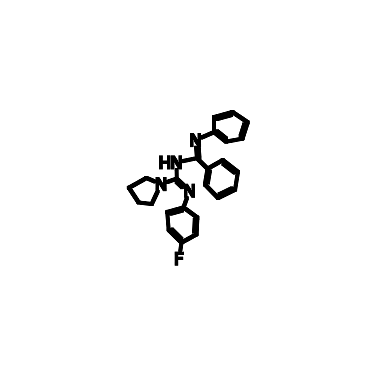 Fc1ccc(/N=C(/N/C(=N/c2ccccc2)c2ccccc2)N2CCCC2)cc1